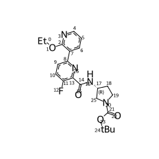 CCOc1ncccc1-c1ccc(F)c(C(=O)N[C@@H]2CCN(C(=O)OC(C)(C)C)C2)n1